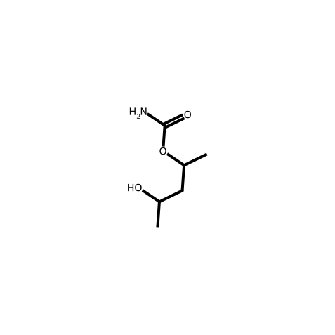 CC(O)CC(C)OC(N)=O